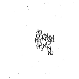 COc1cc(N(C)C[C@@H]2CCCN2C)c(N)cc1Nc1ncc(C(=O)OC(C)C)c(-c2cn(C)c3ccccc23)n1